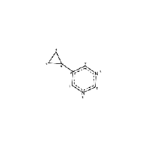 c1ncc([C]2CC2)cn1